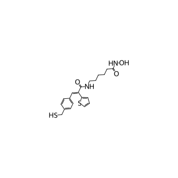 O=C(CCCCCNC(=O)C(=Cc1ccc(CS)cc1)c1cccs1)NO